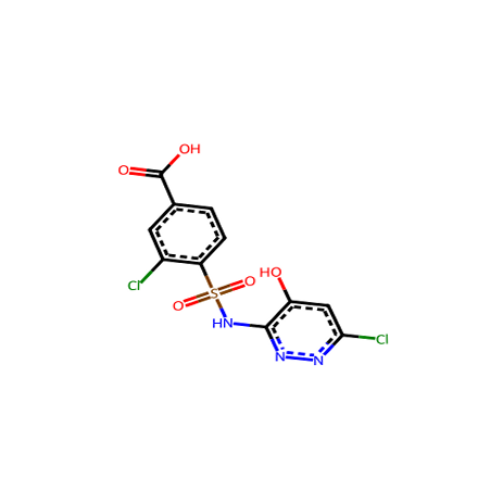 O=C(O)c1ccc(S(=O)(=O)Nc2nnc(Cl)cc2O)c(Cl)c1